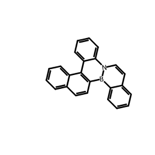 C1=CN2B(c3ccccc31)c1ccc3ccccc3c1-c1ccccc12